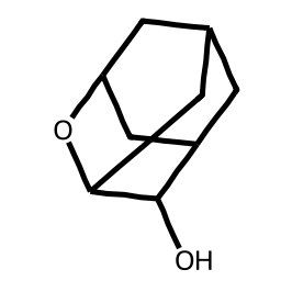 OC1C2CC3CC(C2)OC1C3